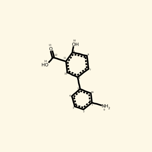 Nc1cccc(-c2ccc(O)c(C(=O)O)c2)c1